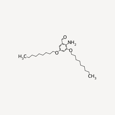 CCCCCCCCCOc1cc(C=O)c(N)c(OCCCCCCCCC)c1